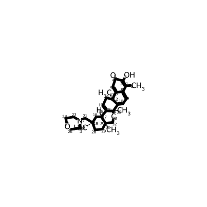 CC1=C(O)C(=O)C=C2C1=CC=C1[C@@]2(C)CC=C2[C@@H]3C[C@](C)(CN4CCOCC4)CC[C@]3(C)CC[C@@]21C